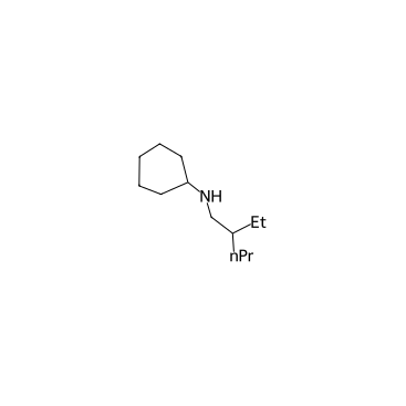 CCCC(CC)CNC1CCCCC1